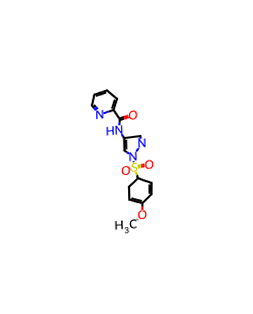 COC1=CCC(S(=O)(=O)n2cc(NC(=O)c3ccccn3)cn2)C=C1